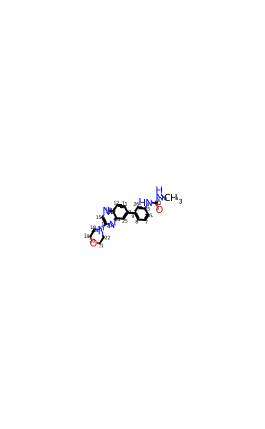 CNC(=O)Nc1cccc(-c2ccc3ncc(N4CCOCC4)nc3c2)c1